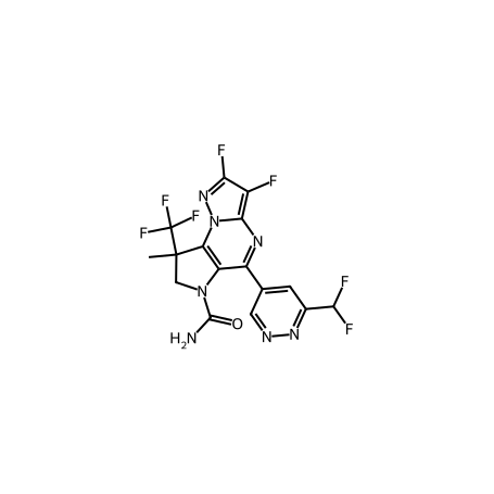 CC1(C(F)(F)F)CN(C(N)=O)c2c(-c3cnnc(C(F)F)c3)nc3c(F)c(F)nn3c21